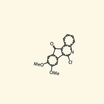 COc1cc2c(cc1OC)-c1c(Cl)nc3ccccc3c1C2=O